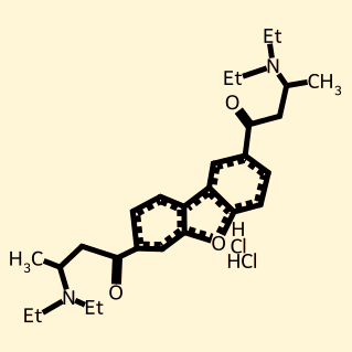 CCN(CC)C(C)CC(=O)c1ccc2c(c1)oc1ccc(C(=O)CC(C)N(CC)CC)cc12.Cl.Cl